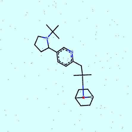 CC(C)(C)N1CCCC1c1ccc(CC(C)(C)N2CC3CCC(CC3)C2)nc1